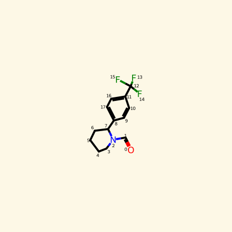 O=CN1CCCCC1c1ccc(C(F)(F)F)cc1